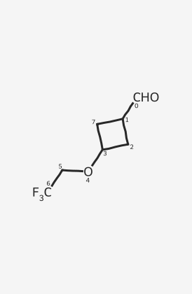 O=CC1CC(OCC(F)(F)F)C1